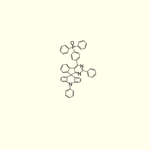 O=P(c1ccccc1)(c1ccccc1)c1ccc(-c2nc(-c3ccccc3)nc3c2-c2ccccc2C32c3ccccc3N(c3ccccc3)c3ccccc32)cc1